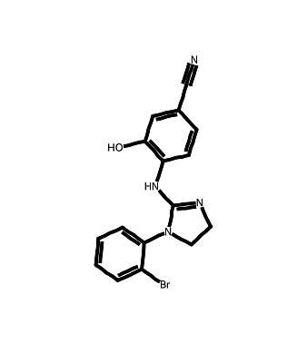 N#Cc1ccc(NC2=NCCN2c2ccccc2Br)c(O)c1